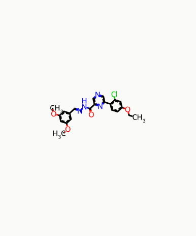 CCOc1ccc(-c2cncc(C(=O)N/N=C/c3cc(OC)cc(OC)c3)n2)c(Cl)c1